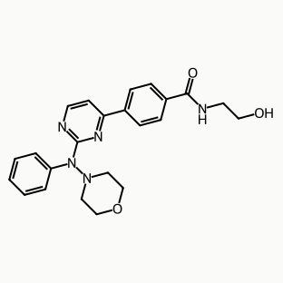 O=C(NCCO)c1ccc(-c2ccnc(N(c3ccccc3)N3CCOCC3)n2)cc1